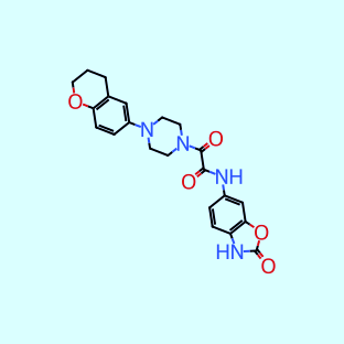 O=C(Nc1ccc2[nH]c(=O)oc2c1)C(=O)N1CCN(c2ccc3c(c2)CCCO3)CC1